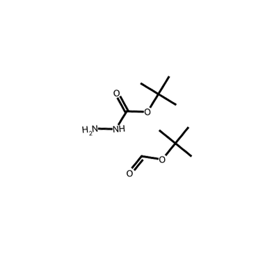 CC(C)(C)OC(=O)NN.CC(C)(C)OC=O